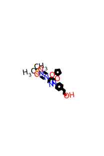 CC(C)S(=O)(=O)N1CCN(c2cnn(-c3ccc(CCO)cc3)c(=O)c2OC2CCCC2)CC1